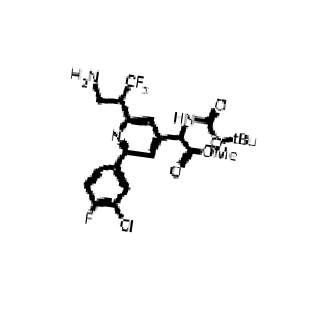 COC(=O)C(NC(=O)OC(C)(C)C)c1cc(-c2ccc(F)c(Cl)c2)nc(C(CN)C(F)(F)F)c1